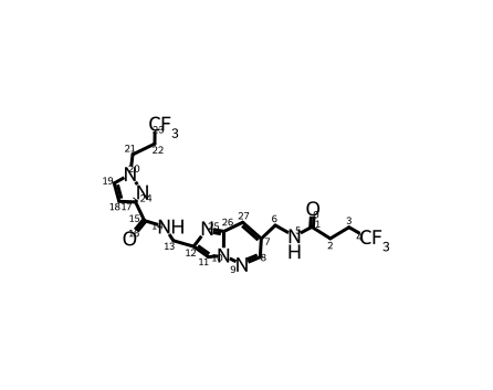 O=C(CCC(F)(F)F)NCc1cnn2cc(CNC(=O)c3ccn(CCC(F)(F)F)n3)nc2c1